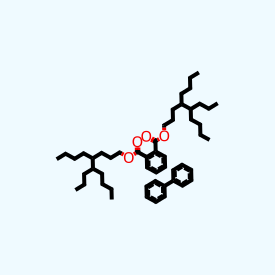 CCCCC(CCC)C(CCCC)CCCOC(=O)c1ccccc1C(=O)OCCCC(CCCC)C(CCC)CCCC.c1ccc(-c2ccccc2)cc1